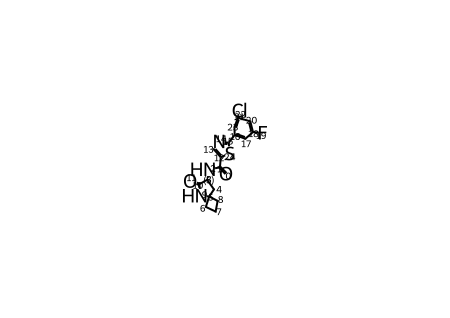 O=C(N[C@H]1CC2(CCC2)NC1=O)c1cnc(-c2cc(F)cc(Cl)c2)s1